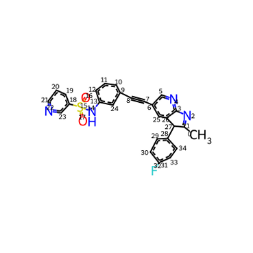 CC1=Nc2ncc(C#Cc3cccc(NS(=O)(=O)c4cccnc4)c3)cc2C1c1ccc(F)cc1